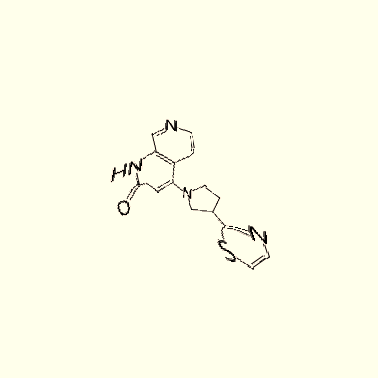 O=c1cc(N2CCC(c3nccs3)C2)c2ccncc2[nH]1